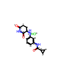 Cl.O=C1CCC(Nc2cccc(NC(=O)C3CC3)c2)C(=O)N1